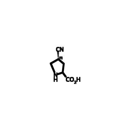 N#C[C@H]1CNC(C(=O)O)C1